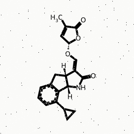 CC1=C[C@@H](O/C=C2/C(=O)N[C@@H]3c4c(cccc4C4CC4)C[C@H]23)OC1=O